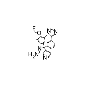 Cc1cc(C2(c3cccc(-c4cncnc4)c3)N=C(N)c3ncccc32)cc(C)c1OCF